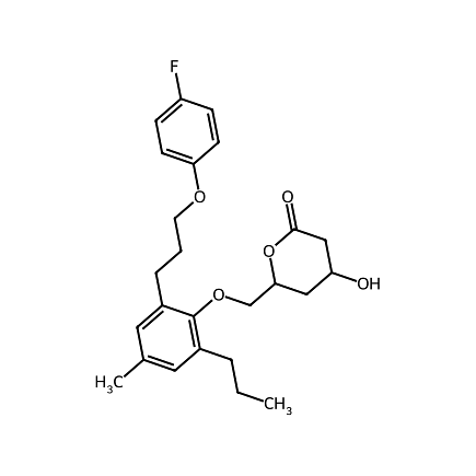 CCCc1cc(C)cc(CCCOc2ccc(F)cc2)c1OCC1CC(O)CC(=O)O1